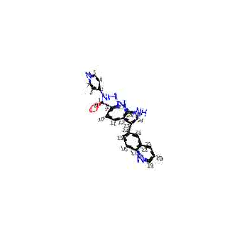 O=C(Nc1ccncc1)c1ccc2c(-c3ccc4ncccc4c3)c[nH]c2n1